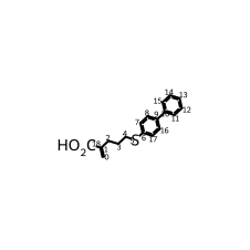 C=C(CCCSc1ccc(-c2ccccc2)cc1)C(=O)O